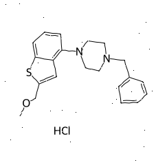 COCc1cc2c(N3CCN(Cc4ccccc4)CC3)cccc2s1.Cl